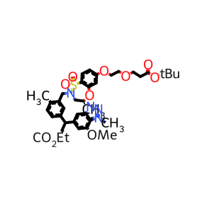 CCOC(=O)CC(c1ccc(C)c(CN2C[C@@H](C)Oc3cc(OCCOCCC(=O)OC(C)(C)C)ccc3S2(=O)=O)c1)c1cc(OC)c2c(c1)nnn2C